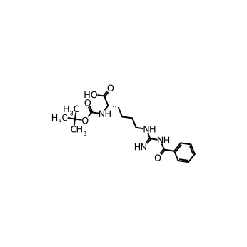 CC(C)(C)OC(=O)N[C@@H](CCCCNC(=N)NC(=O)c1ccccc1)C(=O)O